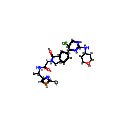 CCc1nc(C(C)NC(=O)CN2Cc3ccc(-c4nc(NC5CCOCC5)ncc4Cl)cc3C2=O)cs1